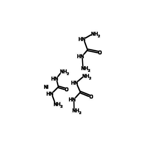 NNC(=O)NN.NNC(=O)NN.NNC(=O)NN.[Ni]